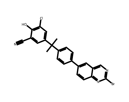 CC(C)(c1ccc(-c2ccc3nc(Br)ncc3c2)cc1)c1cc(Cl)c(O)c(C#N)c1